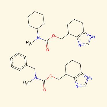 CN(C(=O)OCC1CCCc2[nH]cnc21)C1CCCCC1.CN(Cc1ccccc1)C(=O)OCC1CCCc2[nH]cnc21